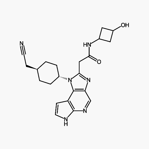 N#CC[C@H]1CC[C@H](n2c(CC(=O)NC3CC(O)C3)nc3cnc4[nH]ccc4c32)CC1